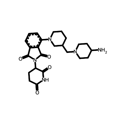 NC1CCN(CC2CCCN(c3cccc4c3C(=O)N(C3CCC(=O)NC3=O)C4=O)C2)CC1